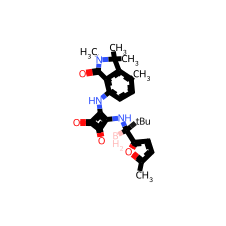 BC(Nc1c(Nc2ccc(C)c3c2C(=O)N(C)C3(C)C)c(=O)c1=O)(c1ccc(C)o1)C(C)(C)C